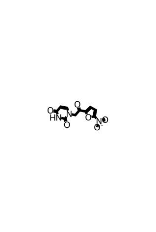 O=C(Cn1ccc(=O)[nH]c1=O)c1ccc([N+](=O)[O-])o1